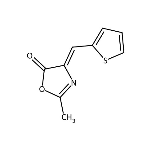 CC1=NC(=Cc2cccs2)C(=O)O1